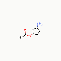 CCCC(=O)OC1CCC(N)C1